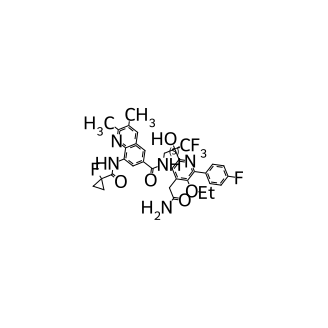 CCOc1c(CC(N)=O)cc([C@@](O)(CNC(=O)c2cc(NC(=O)C3(F)CC3)c3nc(C)c(C)cc3c2)C(F)(F)F)nc1-c1ccc(F)cc1